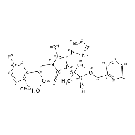 COc1ccc(F)cc1[C@H](Cn1c(S)c(-n2nccn2)n(C(C)(C)C(=O)OCc2ccccc2)c1=O)OO